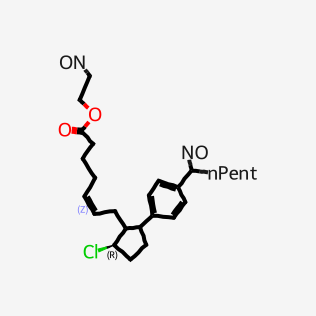 CCCCCC(N=O)c1ccc(C2CC[C@@H](Cl)C2C/C=C\CCCC(=O)OCCN=O)cc1